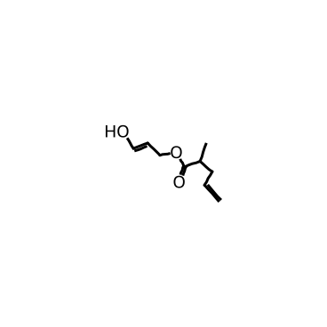 C=CCC(C)C(=O)OCC=CO